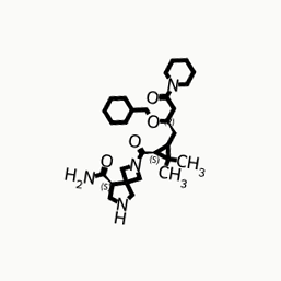 CC1(C)C(C[C@H](CC(=O)N2CCCCC2)OCC2CCCCC2)[C@@H]1C(=O)N1CC2(CNC[C@H]2C(N)=O)C1